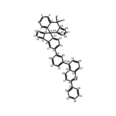 CC1(C)c2ccccc2C2(c3ccccc3-c3cc(-c4cccc(-c5cccc6nc(-c7ccccc7)ccc56)c4)ccc32)c2ccccc21